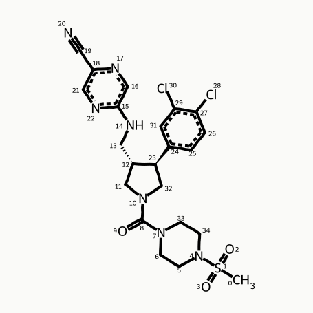 CS(=O)(=O)N1CCN(C(=O)N2C[C@H](CNc3cnc(C#N)cn3)[C@@H](c3ccc(Cl)c(Cl)c3)C2)CC1